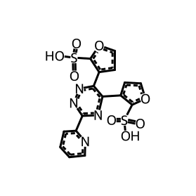 O=S(=O)(O)c1occc1-c1nnc(-c2ccccn2)nc1-c1ccoc1S(=O)(=O)O